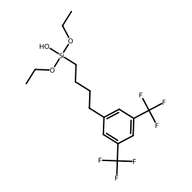 CCO[Si](O)(CCCCc1cc(C(F)(F)F)cc(C(F)(F)F)c1)OCC